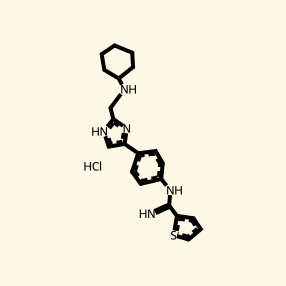 Cl.N=C(Nc1ccc(-c2c[nH]c(CNC3CCCCC3)n2)cc1)c1cccs1